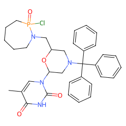 Cc1cn(C2CN(C(c3ccccc3)(c3ccccc3)c3ccccc3)CC(CN3CCCCCP3(=O)Cl)O2)c(=O)[nH]c1=O